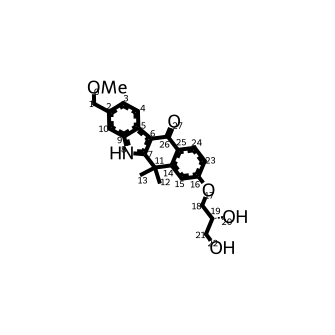 COCc1ccc2c3c([nH]c2c1)C(C)(C)c1cc(OC[C@H](O)CO)ccc1C3=O